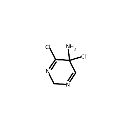 NC1(Cl)C=NCN=C1Cl